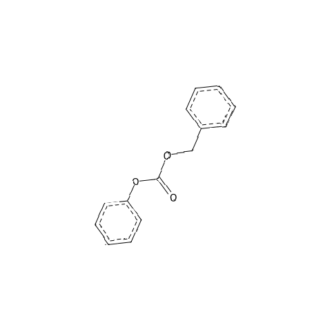 O=C(OCc1ccccc1)Oc1cc[c]cc1